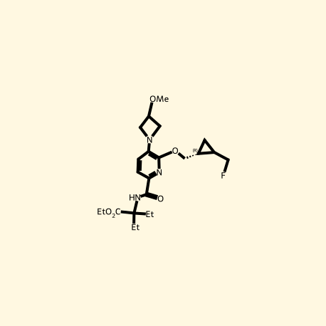 CCOC(=O)C(CC)(CC)NC(=O)c1ccc(N2CC(OC)C2)c(OC[C@@H]2CC2CF)n1